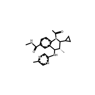 CNC(=O)c1ccc2c(c1)C(Nc1cnc(C)cn1)[C@@H](C)C(C1CC1)N2C(C)=O